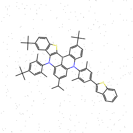 Cc1cc(-c2cc3ccccc3s2)cc(C)c1N1c2ccc(C(C)(C)C)cc2B2c3sc4ccc(C(C)(C)C)cc4c3N(c3c(C)cc(C(C)(C)C)cc3C)c3cc(C(C)C)cc1c32